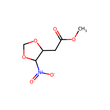 COC(=O)CC1OCOC1[N+](=O)[O-]